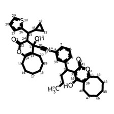 CCCC(c1cccc([N+]#CC2(O)C3=C(CCCCCC3)OC(=O)C2C(c2cccs2)C2CC2)c1)c1c(O)c2c(oc1=O)CCCCCC2